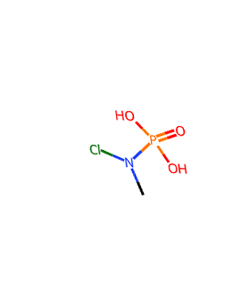 CN(Cl)P(=O)(O)O